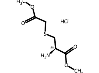 COC(=O)CSC[C@H](N)C(=O)OC.Cl